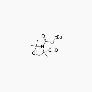 CC(C)(C)OC(=O)N1C(C)(C)OC[C@@]1(C)C=O